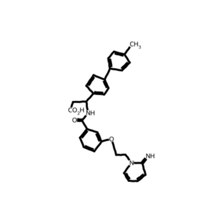 Cc1ccc(-c2ccc(C(CC(=O)O)NC(=O)c3cccc(OCCn4ccccc4=N)c3)cc2)cc1